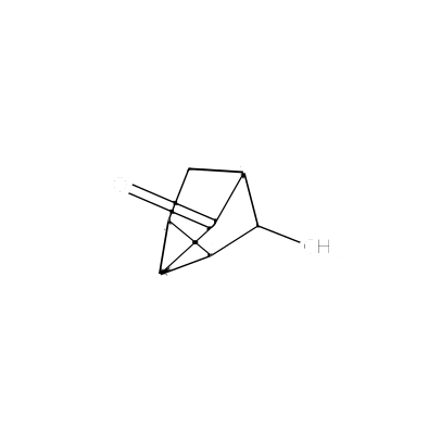 CC1C2CC3C(C2=O)C13